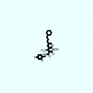 Nc1c(C(=O)NCc2ccc(F)cc2F)c(=O)n(O)c2ncc(CCCC3CCCCC3)cc12